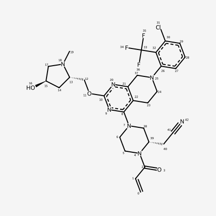 C=CC(=O)N1CCN(c2nc(OC[C@@H]3C[C@@H](O)CN3C)nc3c2CCN(c2cccc(Cl)c2C(F)(F)F)C3)C[C@@H]1CC#N